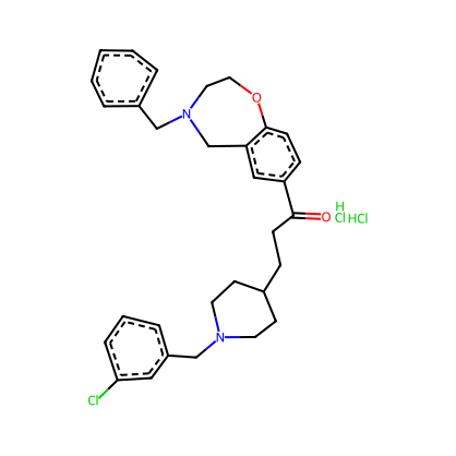 Cl.Cl.O=C(CCC1CCN(Cc2cccc(Cl)c2)CC1)c1ccc2c(c1)CN(Cc1ccccc1)CCO2